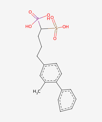 Cc1cc(CCCC(P(=O)(O)O)S(=O)(=O)O)ccc1-c1ccccc1